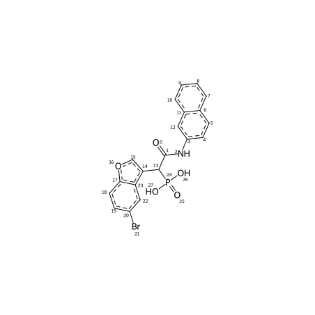 O=C(Nc1ccc2ccccc2c1)C(c1coc2ccc(Br)cc12)P(=O)(O)O